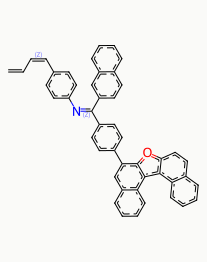 C=C/C=C\c1ccc(/N=C(/c2ccc(-c3cc4ccccc4c4c3oc3ccc5ccccc5c34)cc2)c2ccc3ccccc3c2)cc1